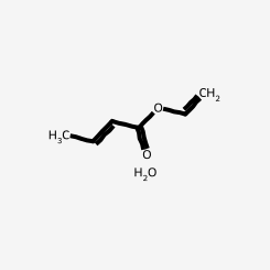 C=COC(=O)C=CC.O